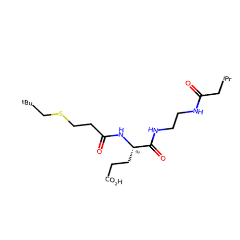 CC(C)CC(=O)NCCNC(=O)[C@H](CCC(=O)O)NC(=O)CCSCC(C)(C)C